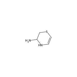 NC1CSC=CN1